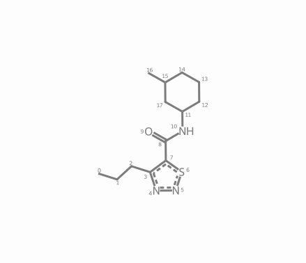 CCCc1nnsc1C(=O)NC1CCCC(C)C1